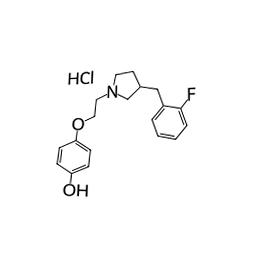 Cl.Oc1ccc(OCCN2CCC(Cc3ccccc3F)C2)cc1